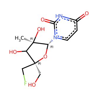 C[C@@]1(O)C(O)[C@](CO)(CF)O[C@H]1n1ccc(=O)[nH]c1=O